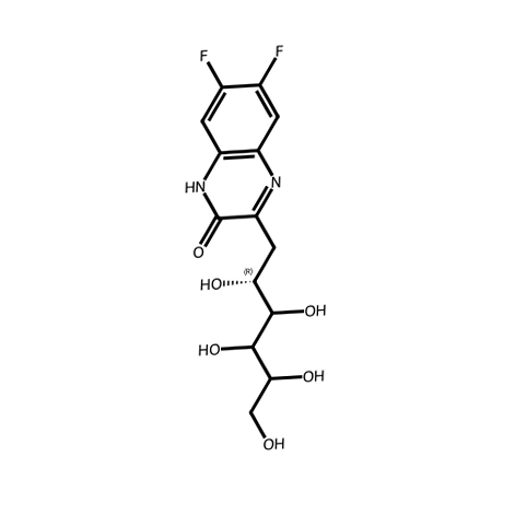 O=c1[nH]c2cc(F)c(F)cc2nc1C[C@@H](O)C(O)C(O)C(O)CO